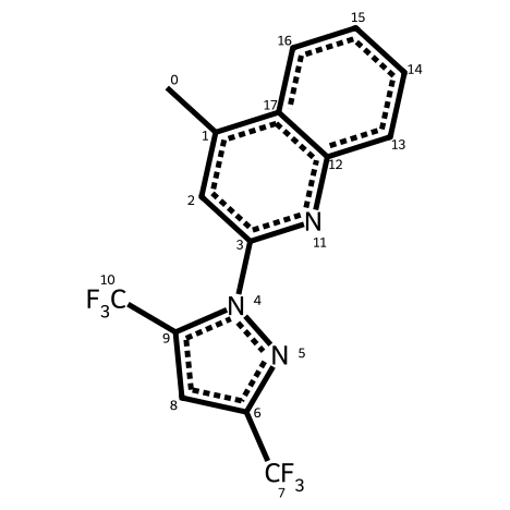 Cc1cc(-n2nc(C(F)(F)F)cc2C(F)(F)F)nc2ccccc12